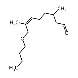 CCCCOC/C(C)=C\CCC(C)CC=O